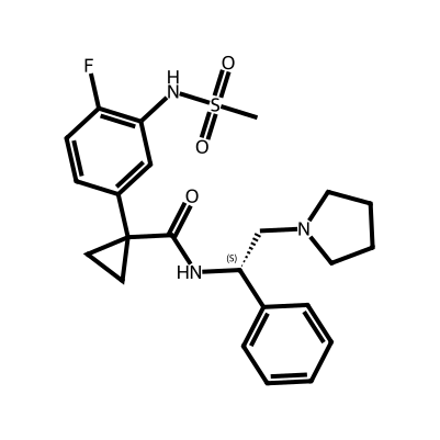 CS(=O)(=O)Nc1cc(C2(C(=O)N[C@H](CN3CCCC3)c3ccccc3)CC2)ccc1F